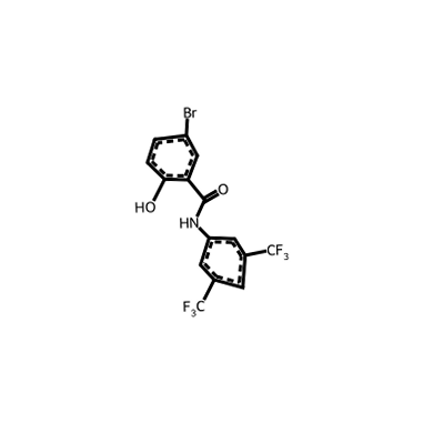 O=C(Nc1cc(C(F)(F)F)cc(C(F)(F)F)c1)c1cc(Br)ccc1O